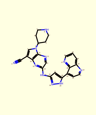 N#Cc1cn(C2CCNCC2)c2ncc(Nc3cc(-c4ccnc5cccnc45)[nH]n3)nc12